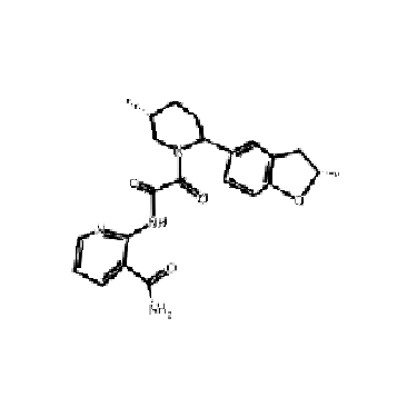 C[C@@H]1CC[C@@H](c2ccc3c(c2)C[C@H](C)O3)N(C(=O)C(=O)Nc2ncccc2C(N)=O)C1